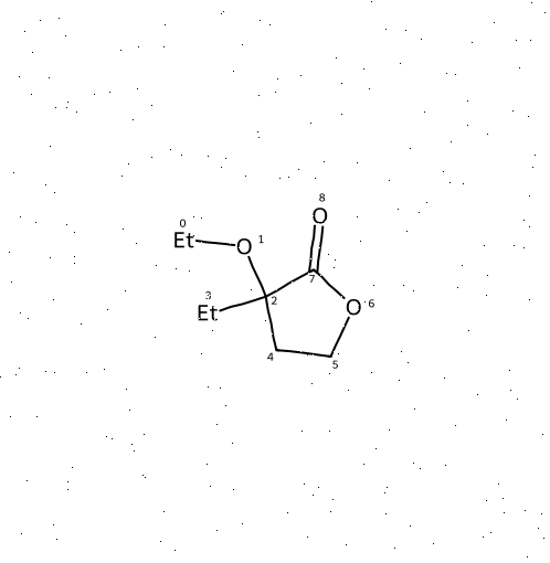 CCOC1(CC)CCOC1=O